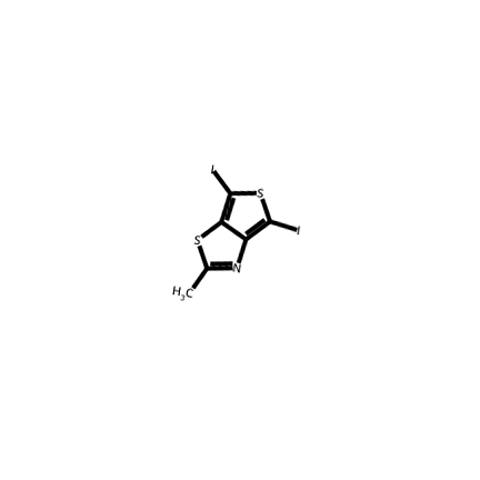 Cc1nc2c(I)sc(I)c2s1